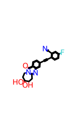 N#Cc1cc(F)ccc1C#Cc1ccc2c(=O)n3c(nc2c1)CCC(O)(O)CC3